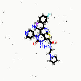 N#Cc1c(-c2cc(F)ccc2I)nc2sc(C(=O)NCCN3CCCC3)c3c2c1N(c1ccncc1)C(=O)N3